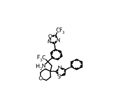 NC(CC1(c2nc(-c3ccccc3)cs2)CCOCC1)(c1cccc(-c2noc(C(F)(F)F)n2)c1)C(F)(F)F